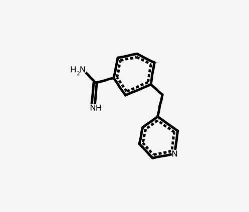 N=C(N)c1cc[c]c(Cc2cccnc2)c1